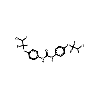 O=C(Nc1ccc(OC(F)(F)C(F)Cl)cc1)Nc1ccc(OC(F)(F)C(F)Cl)cc1